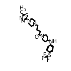 Cc1nnc(N2CCN(CCCC(=O)N3CCC(Nc4ccc(SC(F)(F)F)cc4)CC3)CC2)s1